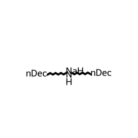 CCCCCCCCCCCCCCCCCCNCCCCCCCCCCCCCCCCCC.[NaH]